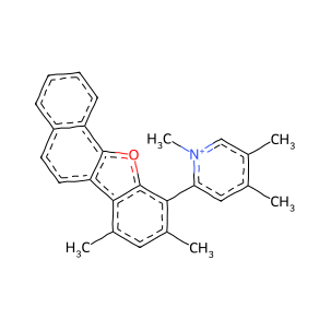 Cc1cc(-c2c(C)cc(C)c3c2oc2c4ccccc4ccc23)[n+](C)cc1C